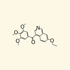 CCOc1ccc2c(C(=O)c3cc(OC)c(OC)c(OC)c3)cncc2c1